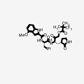 COc1cccc2[nH]c(C(=O)N[C@@H](CC(C)C)C(=O)N[C@@H](C[C@@H]3CCNC3=O)C(=O)COC(=O)C(C)(C)C(F)(F)F)cc12